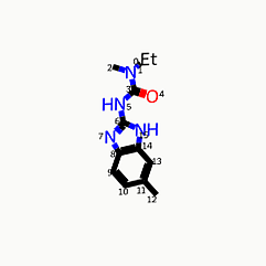 CCN(C)C(=O)Nc1nc2ccc(C)cc2[nH]1